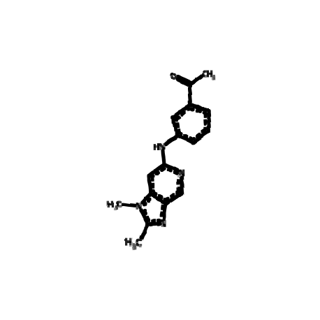 CC(=O)c1cccc(Nc2cc3c(cn2)nc(C)n3C)c1